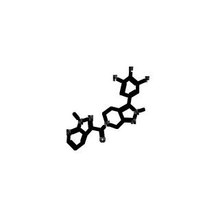 Cn1nc2c(c1-c1cc(F)c(F)c(F)c1)CCN(C(=O)c1nn(C)c3ncccc13)C2